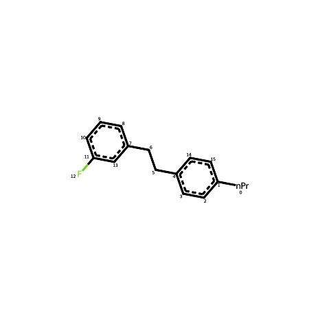 CCCc1ccc(CCc2cccc(F)c2)cc1